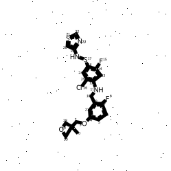 CC1(COc2ccc(F)c(CNc3cc(F)c(SNc4cscn4)cc3Cl)c2)COC1